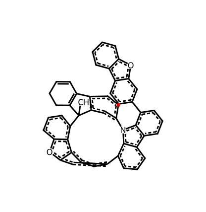 CC12C3=C(C=CCC3)c3ccc(cc31)-n1c3c(-c4ccc5c(c4)oc4ccccc45)cccc3c3cccc(c31)-c1ccc3c(c1)oc1cccc2c13